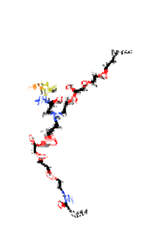 COC(=O)NCCOCCOCC(=O)OCCN(CCOC(=O)COCCOCCNC(C)=O)CC(=O)N[SH](=P)=S